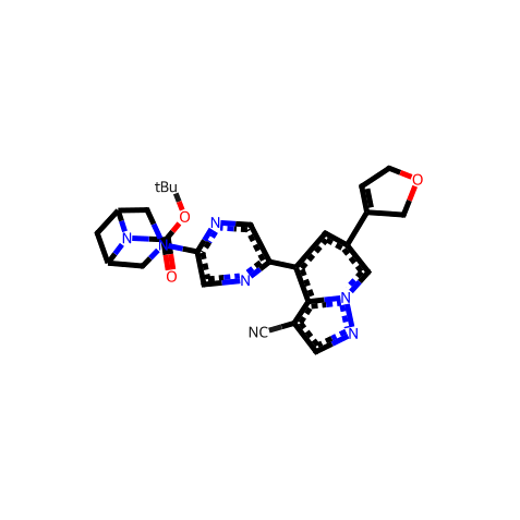 CC(C)(C)OC(=O)N1C2CC1CN(c1cnc(-c3cc(C4=CCOC4)cn4ncc(C#N)c34)cn1)C2